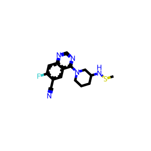 CSNC1CCCN(c2ncnc3cc(F)c(C#N)cc23)C1